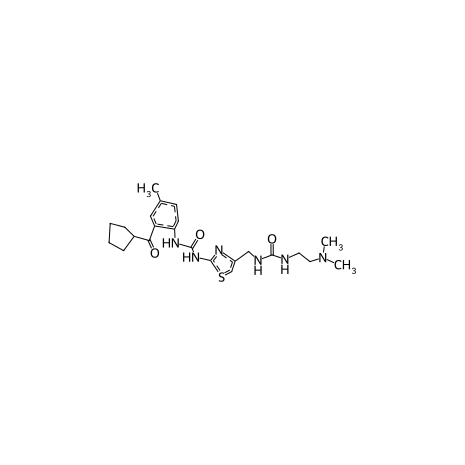 Cc1ccc(NC(=O)Nc2nc(CNC(=O)NCCN(C)C)cs2)c(C(=O)C2CCCC2)c1